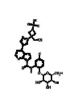 CCS(=O)(=O)N1CC(CC#N)(n2cc(-c3ncnc4c3ccn4C(=O)N(C)c3cc(Cl)ccc3O[C@@H]3O[C@H](C(=O)O)[C@@H](O)[C@H](O)[C@H]3O)cn2)C1